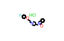 Cl.O=C1c2ccccc2CN1CC1CCN(CCCOc2ccc(F)cc2)CC1